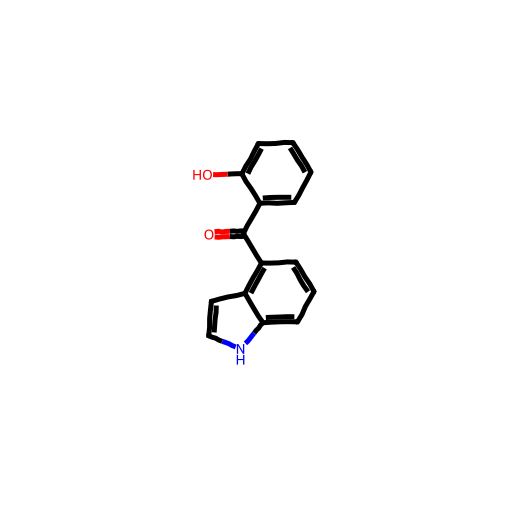 O=C(c1ccccc1O)c1cccc2[nH]ccc12